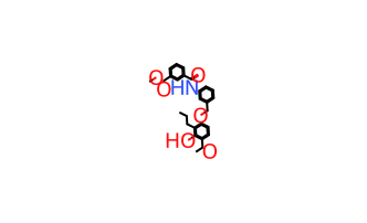 CCCc1c(OCc2cccc(NC(=O)c3cccc(C(=O)OC)c3)c2)ccc(C(C)=O)c1O